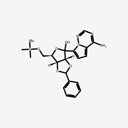 CC(C)(C)[Si](C)(C)OC[C@H]1OC(O)(c2ccc3c(N)ncnn23)[C@@H]2OC(c3ccccc3)O[C@@H]21